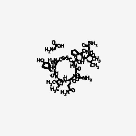 CC[C@H](C)[C@@H]1NC(=O)[C@H](Cc2ccc(O)cc2)NC(=O)[C@@H](N)CSSC[C@@H](C(=O)N2CCC[C@H]2C(=O)N[C@@H](CC(C)C)C(=O)NCC(N)=O)NC(=O)[C@H](CC(N)=O)NC(=O)[C@H](CCC(N)=O)NC1=O.NCC(=O)O